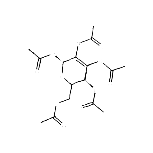 CC(=O)NC1=C(OC(C)=O)[C@@H](OC(C)=O)C(COC(C)=O)O[C@H]1OC(C)=O